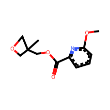 COc1cccc(C(=O)OCC2(C)COC2)n1